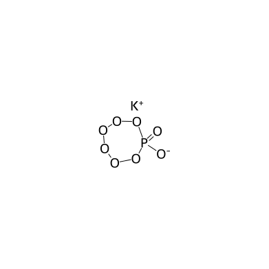 O=P1([O-])OOOOOO1.[K+]